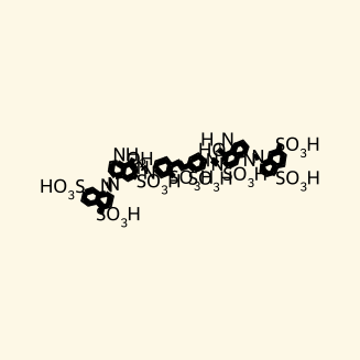 Nc1ccc(N=Nc2ccc(S(=O)(=O)O)c3ccc(S(=O)(=O)O)cc23)c2cc(S(=O)(=O)O)c(N=Nc3ccc(/C=C/c4ccc(N=Nc5c(S(=O)(=O)O)cc6c(N=Nc7ccc(S(=O)(=O)O)c8ccc(S(=O)(=O)O)cc78)ccc(N)c6c5O)cc4S(=O)(=O)O)c(S(=O)(=O)O)c3)c(O)c12